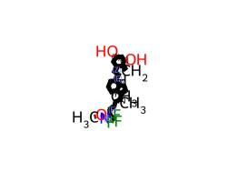 C=C1/C(=C\C=C2/CCC[C@]3(C)C([C@H](C)C/C=C/C(=N\OC)C(F)(F)F)=CC[C@@H]23)C[C@@H](O)C[C@@H]1O